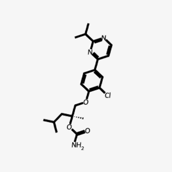 CC(C)C[C@@](C)(COc1ccc(-c2ccnc(C(C)C)n2)cc1Cl)OC(N)=O